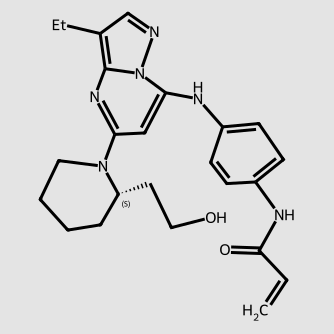 C=CC(=O)Nc1ccc(Nc2cc(N3CCCC[C@H]3CCO)nc3c(CC)cnn23)cc1